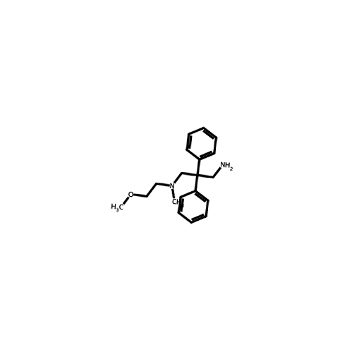 COCCN(C)CC(CN)(c1ccccc1)c1ccccc1